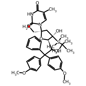 COc1ccc(C(c2ccccc2)(c2ccc(OC)cc2)C(O)[C@H]2O[C@@](CN)(n3cc(C)c(=O)[nH]c3=O)C[C@@]2(O)[Si](C)(C)C(C)(C)C)cc1